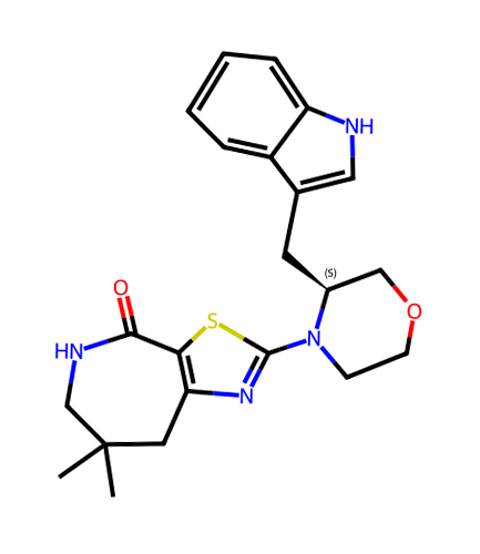 CC1(C)CNC(=O)c2sc(N3CCOC[C@@H]3Cc3c[nH]c4ccccc34)nc2C1